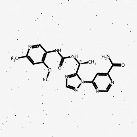 CCOc1cc(C(F)(F)F)ncc1NC(=O)N[C@@H](C)c1ncnn1-c1cc(C(N)=O)ncn1